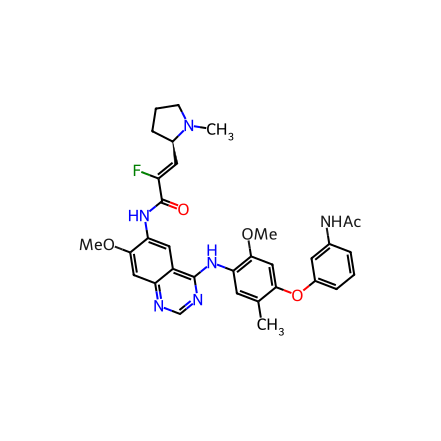 COc1cc2ncnc(Nc3cc(C)c(Oc4cccc(NC(C)=O)c4)cc3OC)c2cc1NC(=O)/C(F)=C/[C@H]1CCCN1C